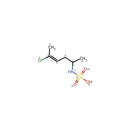 C/C(Cl)=C\CC(C)NS(=O)(=O)O